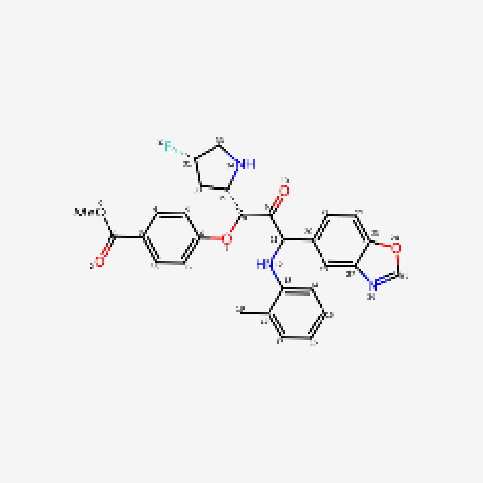 COC(=O)c1ccc(OC(C(=O)C(Nc2ccccc2C)c2ccc3ocnc3c2)[C@@H]2C[C@H](F)CN2)cc1